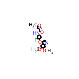 COc1cc2nccc(Oc3ccc(NC(=O)c4cc(C)on4)cc3F)c2cc1OC